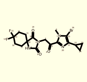 Cn1c(C(=O)CN2C(=O)NC3(CCC(F)(F)CC3)C2=O)nc(C2CC2)c1Br